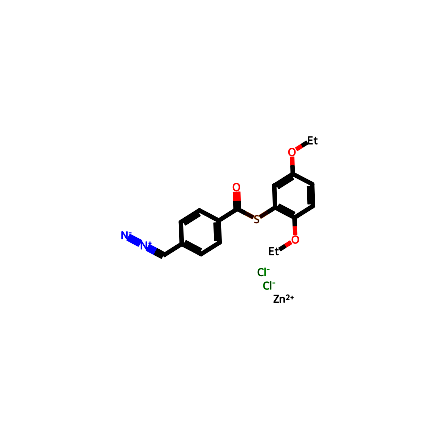 CCOc1ccc(OCC)c(SC(=O)c2ccc(C=[N+]=[N-])cc2)c1.[Cl-].[Cl-].[Zn+2]